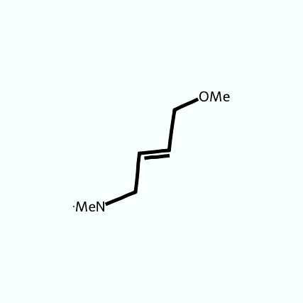 C[N]C/C=C/COC